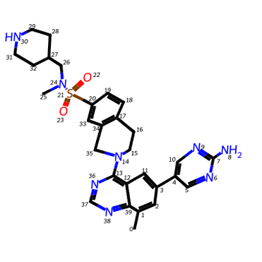 Cc1cc(-c2cnc(N)nc2)cc2c(N3CCc4ccc(S(=O)(=O)N(C)CC5CCNCC5)cc4C3)ncnc12